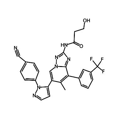 Cc1c(-c2ccnn2-c2ccc(C#N)cc2)cn2nc(NC(=O)CCO)nc2c1-c1cccc(C(F)(F)F)c1